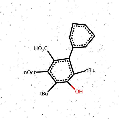 CCCCCCCCc1c(C(=O)O)c(-c2ccccc2)c(C(C)(C)C)c(O)c1C(C)(C)C